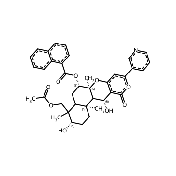 CC(=O)OCC1(C)C2C[C@H](OC(=O)c3cccc4ccccc34)[C@@]3(C)Oc4cc(-c5cccnc5)oc(=O)c4[C@H](O)C3[C@@]2(C)CC[C@@H]1O